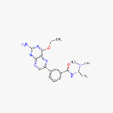 CCOc1nc(N)nc2ncc(-c3cccc(C(=O)NC(C)N(C)C)c3)nc12